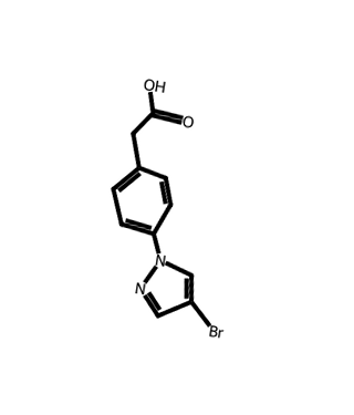 O=C(O)Cc1ccc(-n2cc(Br)cn2)cc1